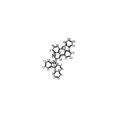 c1ccc2c(c1)ccc1c2c2ccccc2n1-c1cc(-c2cccc3c2oc2ccccc23)c2ccccc2n1